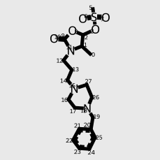 CC1C(OS(C)(=O)=O)OC(=O)N1CCCN1CCN(Cc2ccccc2)CC1